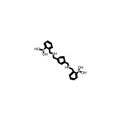 OB(O)c1ccccc1CNCc1ccc(CNCc2ccccc2B(O)O)cc1